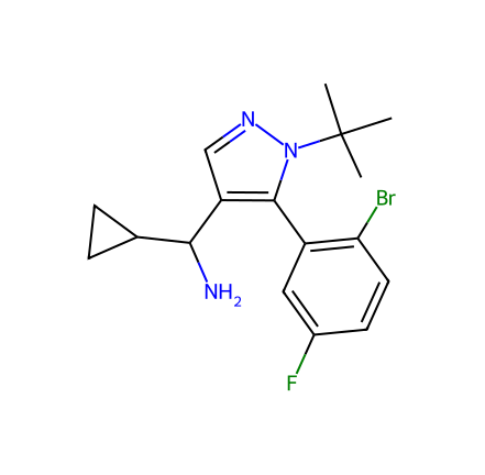 CC(C)(C)n1ncc(C(N)C2CC2)c1-c1cc(F)ccc1Br